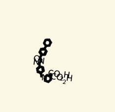 O=C(O)C1(C(=O)O)CCCN(Cc2ccc(-c3noc(-c4ccc(C5CCCCC5)cc4)n3)cc2)C1